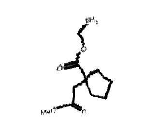 COC(=O)CC1(C(=O)OCN)CCCC1